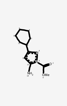 COC(=O)n1nc(C2CCCCC2)cc1N